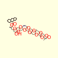 C=C(COC(=O)c1c2ccccc2cc2ccccc12)CC1CC(O)C2(C)OC3CC4OC5CC6(C)OC7(C)CCC8OC9CC%10(C)OC%11C(C)=CC(=O)OC%11CC%10OC9CC(C)C8OC7CC6OC5(C)C/C=C\C4OC3CC2O1